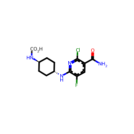 NC(=O)c1cc(F)c(N[C@H]2CC[C@H](NC(=O)O)CC2)nc1Cl